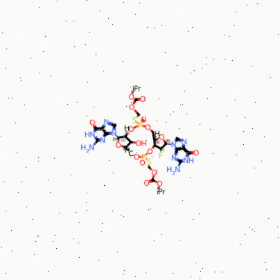 CC(C)OC(=O)OCSP1(=O)OC[C@H]2O[C@@H](n3cnc4c(=O)[nH]c(N)nc43)[C@@H](OP(=O)(SCOC(=O)OC(C)C)OC[C@H]3O[C@@H](n4cnc5c(=O)[nH]c(N)nc54)[C@@H](F)C3O1)C2O